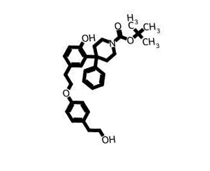 CC(C)(C)OC(=O)N1CCC(c2ccccc2)(c2cc(CCOc3ccc(CCO)cc3)ccc2O)CC1